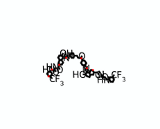 O=C(NC(=O)c1ccc2c(N=Nc3ccc(C=CC(=O)c4ccc(N=Nc5c(O)ccc6cc(CON=CONc7cccc(C(F)(F)F)c7)ccc56)cc4)cc3)c(O)ccc2c1)Nc1cccc(C(F)(F)F)c1